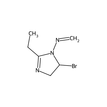 C=NN1C(CC)=NCC1Br